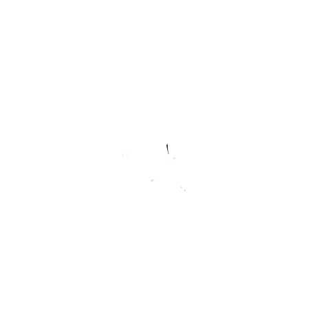 Cl.OC[C@H]1CNC[C@@H]1CO